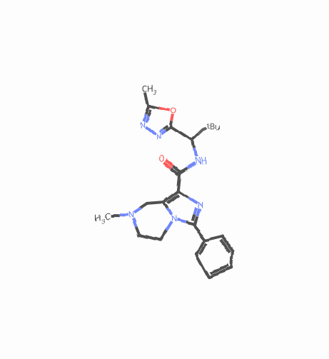 Cc1nnc(C(NC(=O)c2nc(-c3ccccc3)n3c2CN(C)CC3)C(C)(C)C)o1